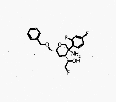 N[C@@]1(c2ccc(F)cc2F)CO[C@@H](COCc2ccccc2)C[C@H]1C(O)CF